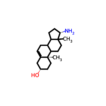 CC12CCC3C(CC=C4C[C@@H](O)CC[C@@]43C)C1CC[C@@H]2N